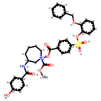 CC(C)(C)OC(=O)[N+]1(OC(=O)c2ccc(S(=O)(=O)Oc3ccccc3OCc3ccccc3)cc2)CCCCC(NC(=O)c2ccc(O)cc2)C1